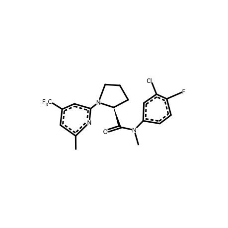 Cc1cc(C(F)(F)F)cc(N2CCC[C@H]2C(=O)N(C)c2ccc(F)c(Cl)c2)n1